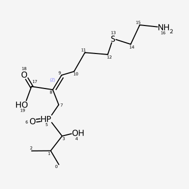 CC(C)C(O)[PH](=O)C/C(=C\CCCSCCN)C(=O)O